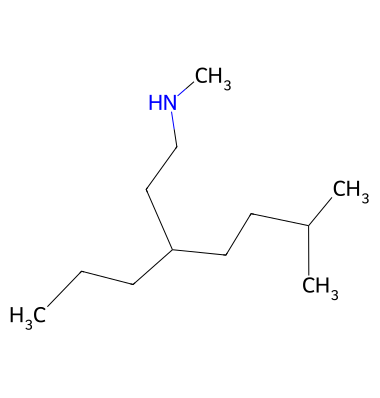 CCCC(CCNC)CCC(C)C